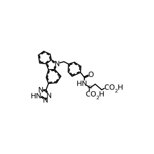 O=C(O)CC[C@H](NC(=O)c1ccc(Cn2c3ccccc3c3cc(-c4nn[nH]n4)ccc32)cc1)C(=O)O